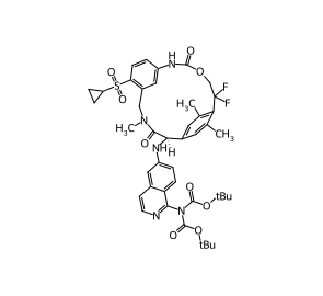 Cc1cc2cc(C)c1C(F)(F)COC(=O)Nc1ccc(S(=O)(=O)C3CC3)c(c1)CN(C)C(=O)[C@@H]2Nc1ccc2c(N(C(=O)OC(C)(C)C)C(=O)OC(C)(C)C)nccc2c1